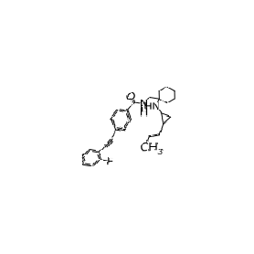 CCCC1CC1NC1(CNC(=O)c2ccc(C#Cc3ccccc3F)cc2)CCCCC1